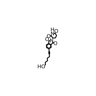 O=C1CCC(N2C(=O)c3ccc(C#CCCCCCO)cc3C2=O)C(=O)N1